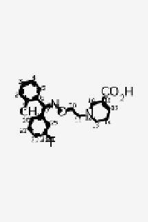 Cc1ccccc1/C(=N/OCCN1CCC=C(C(=O)O)C1)c1cccc(F)c1